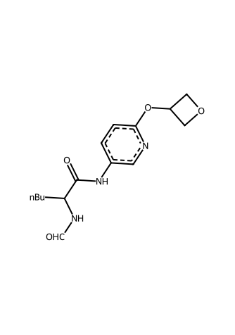 CCCCC(NC=O)C(=O)Nc1ccc(OC2COC2)nc1